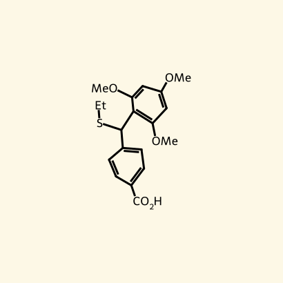 CCSC(c1ccc(C(=O)O)cc1)c1c(OC)cc(OC)cc1OC